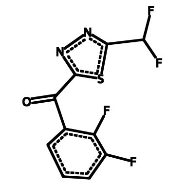 O=C(c1nnc(C(F)F)s1)c1cccc(F)c1F